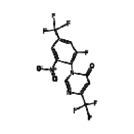 O=c1cc(C(F)(F)F)ncn1-c1c(F)cc(C(F)(F)F)cc1[N+](=O)[O-]